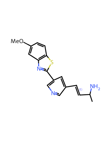 COc1ccc2sc(-c3cncc(/C=C/C(C)N)c3)nc2c1